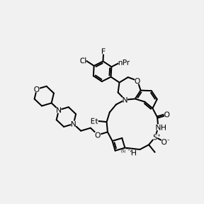 CCCc1c(C2COc3ccc4cc3N(CCC(CC)C(OCCN3CCN(C5CCOCC5)CC3)C3=C[C@@H](C3)CC(C)[S+]([O-])NC4=O)C2)ccc(Cl)c1F